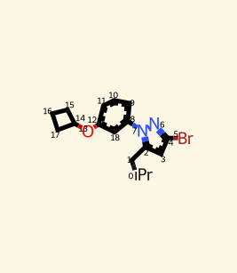 CC(C)Cc1cc(Br)nn1-c1cccc(OC2CCC2)c1